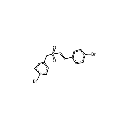 O=S(=O)(/C=C/c1ccc(Br)cc1)Cc1ccc(Br)cc1